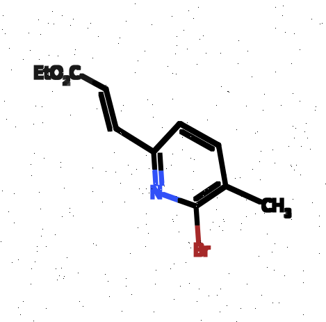 CCOC(=O)/C=C/c1ccc(C)c(Br)n1